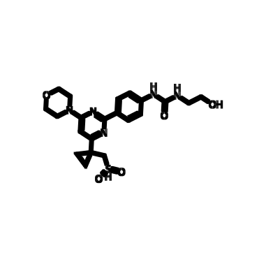 O=C(NCCO)Nc1ccc(-c2nc(N3CCOCC3)cc(C3(C[SH](=O)=O)CC3)n2)cc1